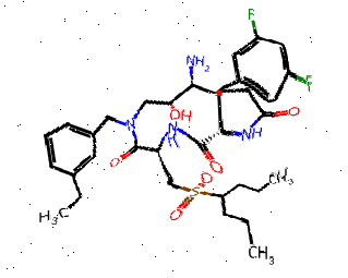 CCCC(CCC)S(=O)(=O)C[C@H](NC(=O)[C@@H]1CCC(=O)N1)C(=O)N(Cc1cccc(CC)c1)C[C@@H](O)[C@@H](N)Cc1cc(F)cc(F)c1